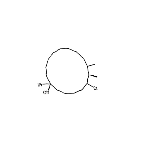 CCC1CCCCC(N=O)(C(C)C)CCCCCCCCC(C)[C@H]1C